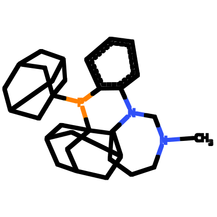 CN1CCCCN(c2ccccc2P(C23CC4CC(CC(C4)C2)C3)C23CC4CC(CC(C4)C2)C3)C1